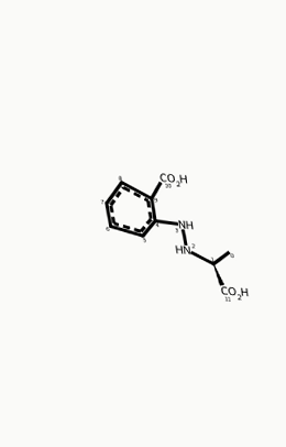 C[C@H](NNc1ccccc1C(=O)O)C(=O)O